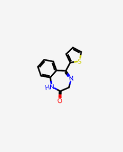 O=C1CN=C(c2cccs2)c2ccccc2N1